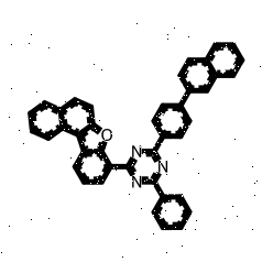 c1ccc(-c2nc(-c3ccc(-c4ccc5ccccc5c4)cc3)nc(-c3cccc4c3oc3ccc5ccccc5c34)n2)cc1